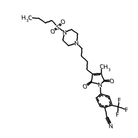 CCCCS(=O)(=O)N1CCN(CCCCC2=C(C)C(=O)N(c3ccc(C#N)c(C(F)(F)F)c3)C2=O)CC1